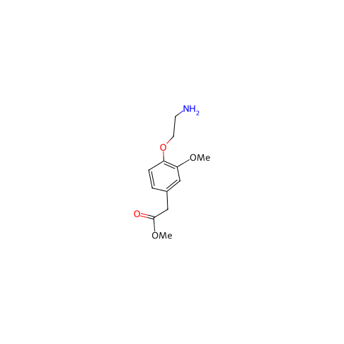 COC(=O)Cc1ccc(OCCN)c(OC)c1